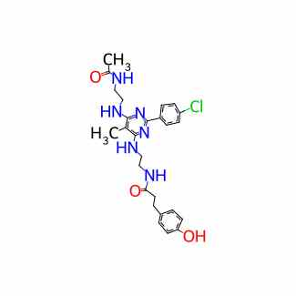 CC(=O)NCCNc1nc(-c2ccc(Cl)cc2)nc(NCCNC(=O)CCc2ccc(O)cc2)c1C